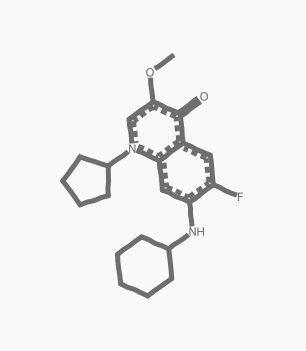 COc1cn(C2CCCC2)c2cc(NC3CCCCC3)c(F)cc2c1=O